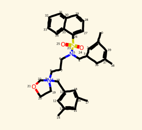 CC1=CC(CN(CCC[N+]2(Cc3cc(C)cc(C)c3)CCOC2)S(=O)(=O)c2cccc3ccccc23)CC(C)=C1